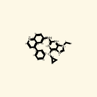 CCn1cnc2c(OC3CC3)nc(Nc3ccc4nccc(-c5ccccc5)c4c3)nc21